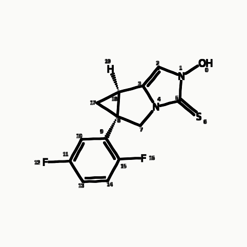 On1[c]c2n(c1=S)C[C@@]1(c3cc(F)ccc3F)C[C@@H]21